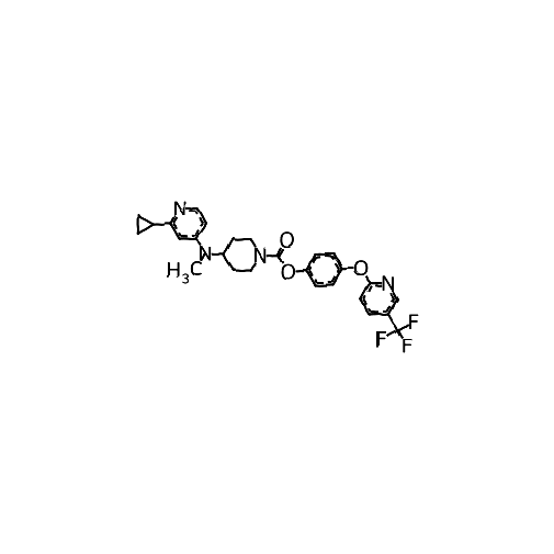 CN(c1ccnc(C2CC2)c1)C1CCN(C(=O)Oc2ccc(Oc3ccc(C(F)(F)F)cn3)cc2)CC1